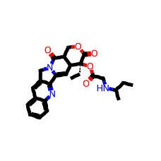 CCC(C)NCC(=O)O[C@]1(CC)C(=O)OCC2C(=O)N3Cc4cc5ccccc5nc4C3=CC21